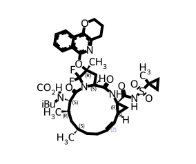 CCC(C)N(C(=O)O)[C@@H]1C(=O)N2[C@@H](C[C@@](C)(Oc3nc4c(c5ccccc35)OCCC4)C2(F)F)C(=O)N[C@]2(C(=O)NS(=O)(=O)C3(C)CC3)C[C@H]2/C=C\CC[C@H](C)C[C@H]1C